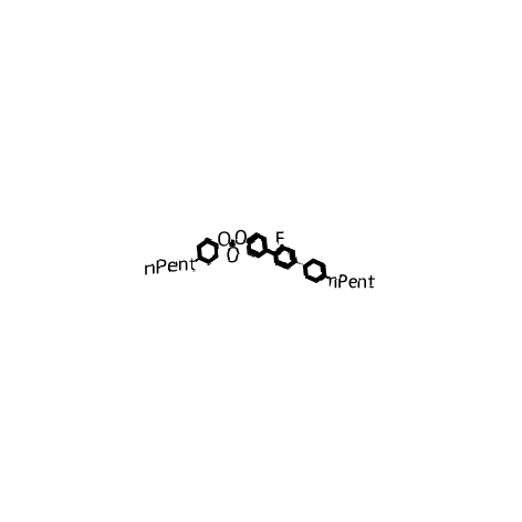 CCCCC[C@H]1CC[C@H](OC(=O)Oc2ccc(-c3ccc([C@H]4CC[C@H](CCCCC)CC4)cc3F)cc2)CC1